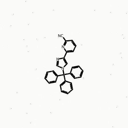 N#Cc1cccc(-c2cn(C(c3ccccc3)(c3ccccc3)c3ccccc3)cn2)n1